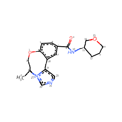 CC1COc2ccc(C(=O)N[C@@H]3CCCOC3)cc2-c2cncn21